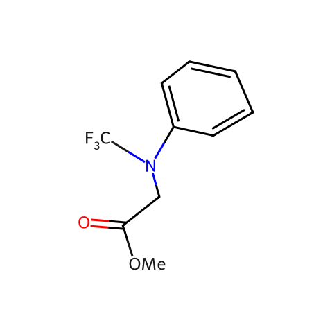 COC(=O)CN(c1ccccc1)C(F)(F)F